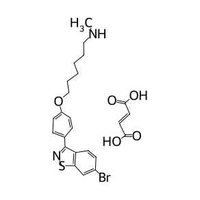 CNCCCCCCOc1ccc(-c2nsc3cc(Br)ccc23)cc1.O=C(O)/C=C/C(=O)O